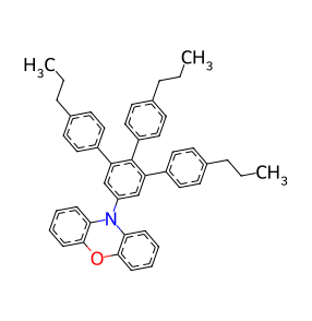 CCCc1ccc(-c2cc(N3c4ccccc4Oc4ccccc43)cc(-c3ccc(CCC)cc3)c2-c2ccc(CCC)cc2)cc1